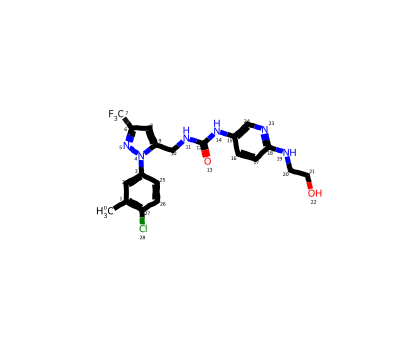 Cc1cc(-n2nc(C(F)(F)F)cc2CNC(=O)Nc2ccc(NCCO)nc2)ccc1Cl